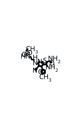 CCS(=O)(=O)NCCCNc1nc2sc(C(N)=O)c(N)c2c(-c2ccc(C)o2)c1C#N